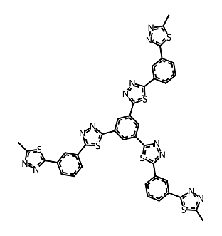 Cc1nnc(-c2cccc(-c3nnc(-c4cc(-c5nnc(-c6cccc(-c7nnc(C)s7)c6)s5)cc(-c5nnc(-c6cccc(-c7nnc(C)s7)c6)s5)c4)s3)c2)s1